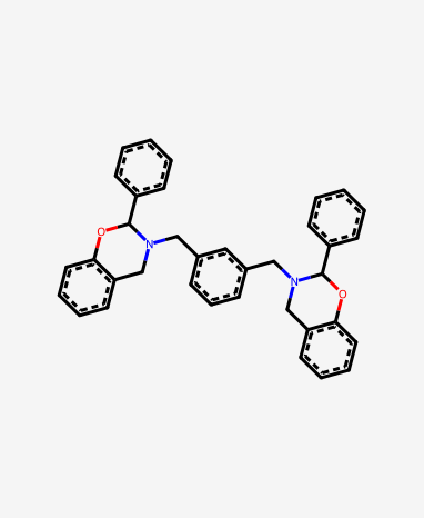 c1ccc(C2Oc3ccccc3CN2Cc2cccc(CN3Cc4ccccc4OC3c3ccccc3)c2)cc1